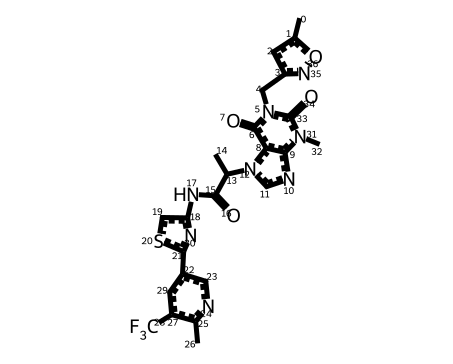 Cc1cc(Cn2c(=O)c3c(ncn3C(C)C(=O)Nc3csc(-c4cnc(C)c(C(F)(F)F)c4)n3)n(C)c2=O)no1